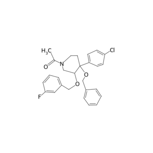 CC(=O)N1CCC(OCc2ccccc2)(c2ccc(Cl)cc2)C(OCc2cccc(F)c2)C1